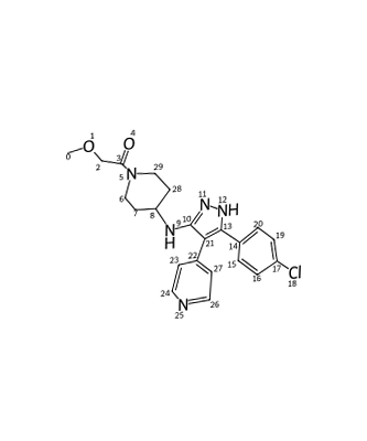 COCC(=O)N1CCC(Nc2n[nH]c(-c3ccc(Cl)cc3)c2-c2ccncc2)CC1